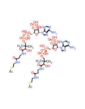 CC(=O)SCCNC(=O)CCNC(=O)C(O)C(C)(C)COP(=O)(O)OP(=O)(O)OC[C@H]1O[C@@H](n2cnc3c(N)ncnc32)[C@H](O)[C@@H]1OP(=O)(O)O.CC(=O)SCCNC(=O)CCNC(=O)C(O)C(C)(C)COP(=O)(O)OP(=O)(O)OC[C@H]1O[C@@H](n2cnc3c(N)ncnc32)[C@H](O)[C@@H]1OP(=O)(O)O